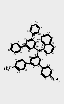 Cc1ccc(-c2cc(-c3ccc(C)cc3)cc(N(c3cc(-c4ccccc4)cc(-c4ccccc4)c3)c3cccc4ccccc34)c2)cc1